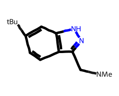 CNCc1n[nH]c2cc(C(C)(C)C)ccc12